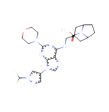 O=C(O)N1C2CCC1CC(CNc1nc(N3CCOCC3)nc3c1ncn3-c1cnn(C(F)F)c1)C2